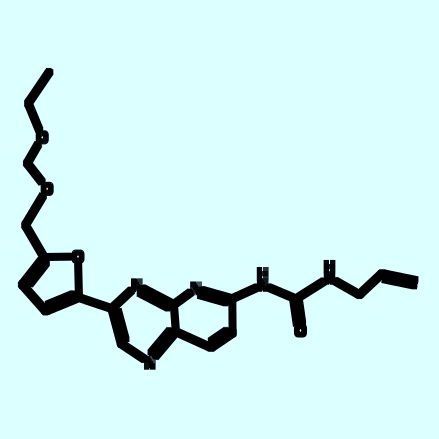 C=CCNC(=O)Nc1ccc2ncc(-c3ccc(COCOCC)o3)nc2n1